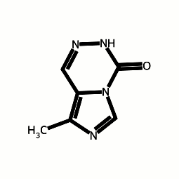 Cc1ncn2c(=O)[nH]ncc12